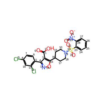 O=C(O)c1c(-c2ccc(Cl)cc2Cl)noc1C1CCN(S(=O)(=O)c2ccccc2[N+](=O)[O-])CC1